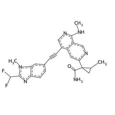 CNc1ncc(C#Cc2ccc3nc(C(F)F)n(C)c3c2)c2cc(C3(C(N)=O)CC3C)ncc12